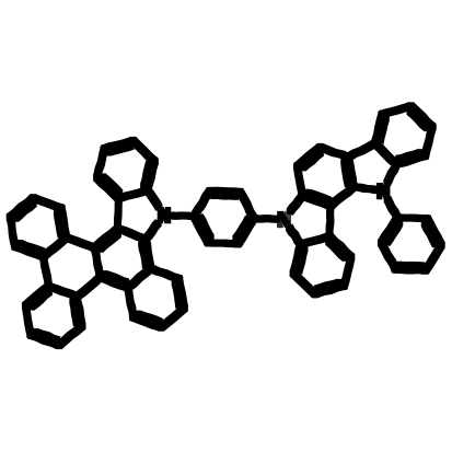 c1ccc(-n2c3ccccc3c3ccc4c(c5ccccc5n4-c4ccc(-n5c6ccccc6c6c7c8ccccc8c8ccccc8c7c7ccccc7c65)cc4)c32)cc1